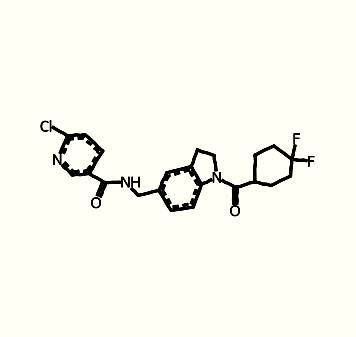 O=C(NCc1ccc2c(c1)CCN2C(=O)C1CCC(F)(F)CC1)c1ccc(Cl)nc1